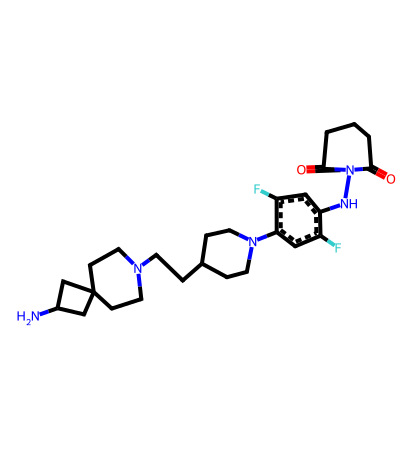 NC1CC2(CCN(CCC3CCN(c4cc(F)c(NN5C(=O)CCCC5=O)cc4F)CC3)CC2)C1